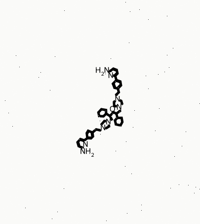 Nc1cccc(-c2ccc(CCN3CCN(CC(C(=O)C(CN4CCN(CCc5ccc(-c6cccc(N)n6)cc5)CC4)C4CCCCC4)C4CCCCC4)CC3)cc2)n1